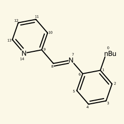 CCCCc1ccccc1N=Cc1ccccn1